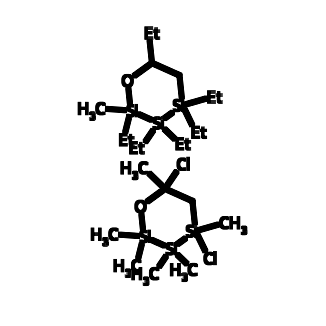 CC1(Cl)C[Si](C)(Cl)[Si](C)(C)[Si](C)(C)O1.CCC1C[Si](CC)(CC)[Si](CC)(CC)[Si](C)(CC)O1